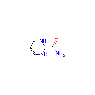 NC(=O)C1NC=CCN1